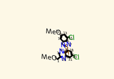 COCc1cnc2c([SH]3N=c4cc(OC)cc(Cl)c4=N3)cc(Cl)cc2n1